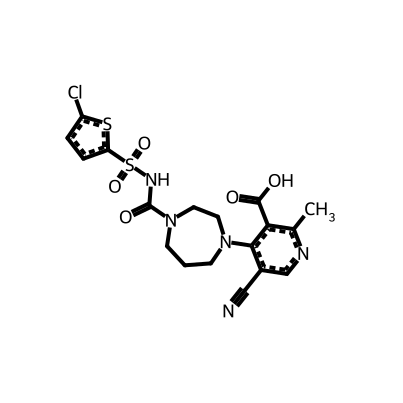 Cc1ncc(C#N)c(N2CCCN(C(=O)NS(=O)(=O)c3ccc(Cl)s3)CC2)c1C(=O)O